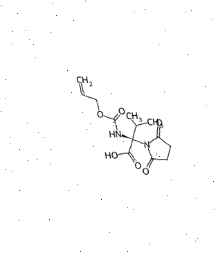 C=CCOC(=O)N[C@@](C(=O)O)(C(C)C)N1C(=O)CCC1=O